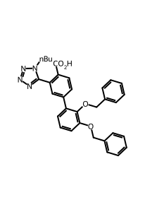 CCCCn1nnnc1-c1cc(-c2cccc(OCc3ccccc3)c2OCc2ccccc2)ccc1C(=O)O